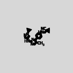 Cc1cnc(Nc2cnn(C3CC3)c2)nc1-c1ccc(NCC2(C#N)CC2)cc1